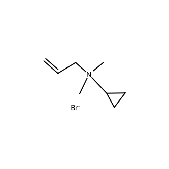 C=CC[N+](C)(C)C1CC1.[Br-]